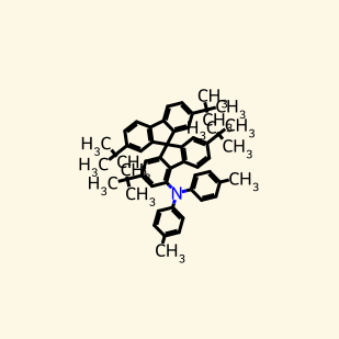 Cc1ccc(N(c2ccc(C)cc2)c2cc(C(C)(C)C)cc3c2-c2ccc(C(C)(C)C)cc2C32c3cc(C(C)(C)C)ccc3-c3ccc(C(C)(C)C)cc32)cc1